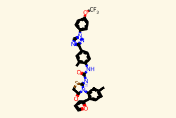 Cc1ccc(-c2ccco2)c(N2C(=O)CS/C2=N\C(=O)Nc2ccc(-c3ncn(-c4ccc(OC(F)(F)F)cc4)n3)cc2C)c1